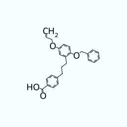 C=CCOc1ccc(OCc2ccccc2)c(CCCc2ccc(C(=O)O)cc2)c1